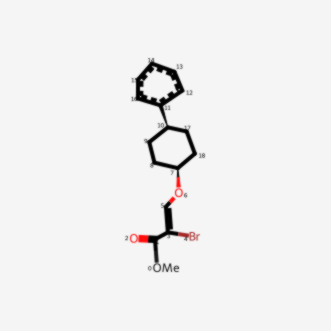 COC(=O)/C(Br)=C/O[C@H]1CC[C@@H](c2ccccc2)CC1